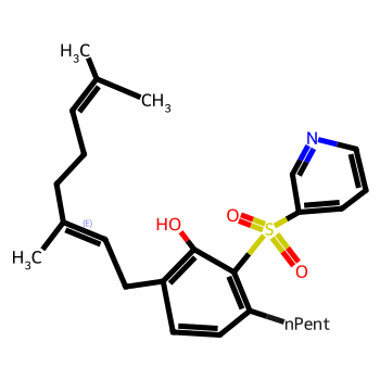 CCCCCc1ccc(C/C=C(\C)CCC=C(C)C)c(O)c1S(=O)(=O)c1cccnc1